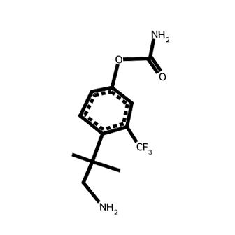 CC(C)(CN)c1ccc(OC(N)=O)cc1C(F)(F)F